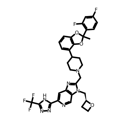 CC1(c2ccc(F)cc2F)Oc2cccc(C3CCN(Cc4nc5cc(-c6nnc(C(F)(F)F)[nH]6)ncc5n4C[C@@H]4CCO4)CC3)c2O1